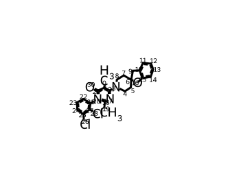 Cc1c(N2CCC3(CC2)Cc2ccccc2O3)nc(C)n(-c2cccc(Cl)c2Cl)c1=O